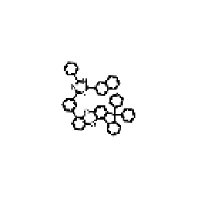 c1ccc(-c2nc(-c3cccc(-c4cccc5c4Oc4ccc6c(c4O5)-c4ccccc4C6(c4ccccc4)c4ccccc4)c3)nc(-c3ccc4ccccc4c3)n2)cc1